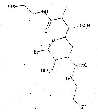 CCC1OC(C(C(=O)O)C(C)C(=O)NCCS)CC(C(=O)NCCS)C1C(=O)O